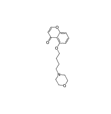 O=c1ccoc2cccc(OCCCCN3CCOCC3)c12